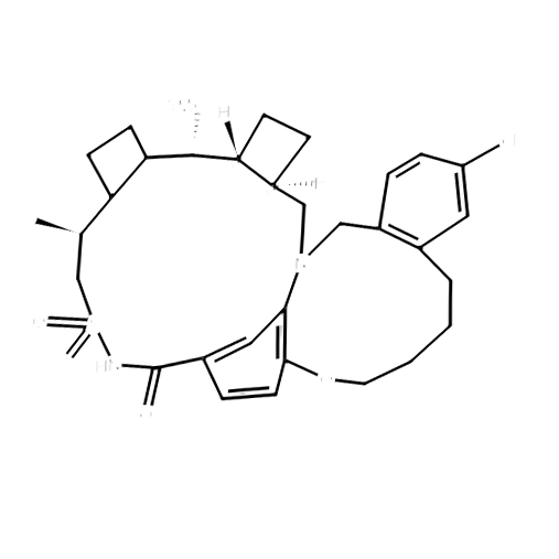 CO[C@H]1C2CCC2[C@H](C)CS(=O)(=O)NC(=O)c2ccc3c(c2)N(Cc2ccc(Cl)cc2CCCCO3)C[C@@H]2CC[C@H]21